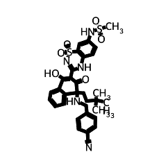 CC(C)(C)CCC1(NCc2ccc(C#N)cc2)C(=O)C(C2=NS(=O)(=O)c3cc(NS(C)(=O)=O)ccc3N2)=C(O)c2ccccc21